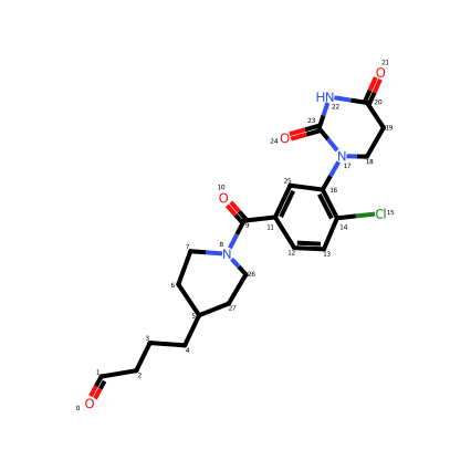 O=CCCCC1CCN(C(=O)c2ccc(Cl)c(N3CCC(=O)NC3=O)c2)CC1